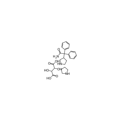 C1CCNC1.NC(=O)C(c1ccccc1)(c1ccccc1)C1CCNC1.O=C(O)C(O)C(O)C(=O)O